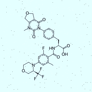 Cc1cc(N2CCOC[C@@H]2C(F)(F)F)cc(F)c1C(=O)N[C@@H](Cc1ccc(-n2c(=O)c3c(n(C)c2=O)COC3)cc1)C(=O)O